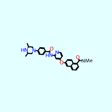 CNC(=O)c1cccc2cc(Oc3ccnc(NC(=O)c4ccc(N5CC(C)NC(C)C5)cc4)c3)ccc12